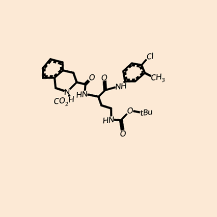 Cc1cc(NC(=O)C(CCNC(=O)OC(C)(C)C)NC(=O)C2Cc3ccccc3CN2C(=O)O)ccc1Cl